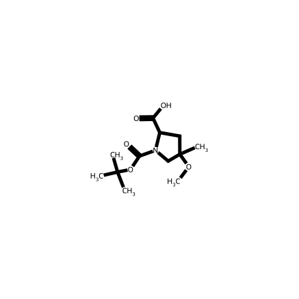 COC1(C)CC(C(=O)O)N(C(=O)OC(C)(C)C)C1